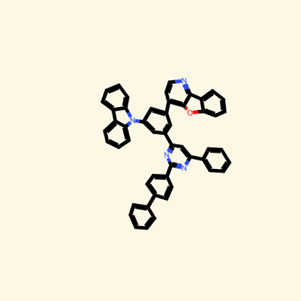 c1ccc(-c2ccc(-c3nc(-c4ccccc4)cc(-c4cc(-c5ccnc6c5oc5ccccc56)cc(-n5c6ccccc6c6ccccc65)c4)n3)cc2)cc1